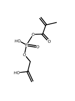 C=C(O)COP(=O)(O)OC(=O)C(=C)C